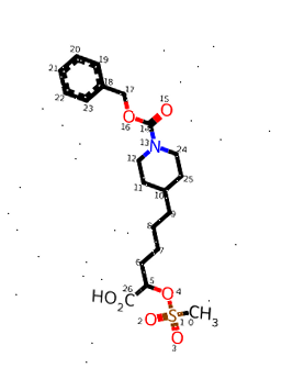 CS(=O)(=O)OC(CCCCC1CCN(C(=O)OCc2ccccc2)CC1)C(=O)O